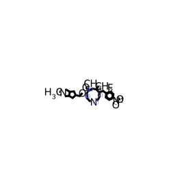 COC1=C/C(C)/C(Cc2ccc([N+](=O)[O-])cc2F)=C\C=N/C/C=C\1OCC1CC2CN(C)CC2C1